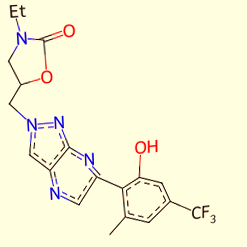 CCN1CC(Cn2cc3ncc(-c4c(C)cc(C(F)(F)F)cc4O)nc3n2)OC1=O